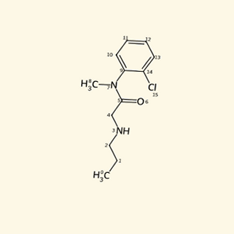 CCCNCC(=O)N(C)c1ccccc1Cl